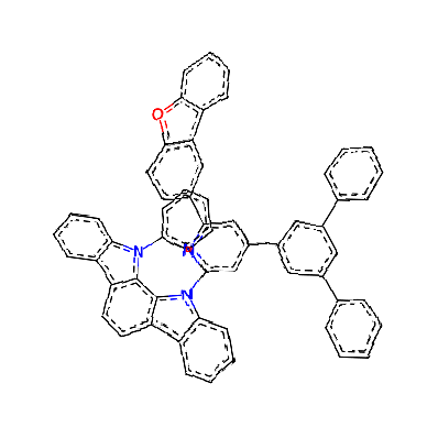 c1ccc(-c2cc(-c3ccccc3)cc(-c3cc(-c4ccc5oc6ccccc6c5c4)nc(-n4c5ccccc5c5ccc6c7ccccc7n(-c7ccccc7)c6c54)c3)c2)cc1